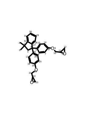 CC1(C)CC(c2ccc(OCC3CO3)cc2)(c2ccc(OCC3CO3)cc2)c2ccccc21